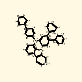 C1=Cc2c(oc3c(N(c4ccc(-c5ccccc5)cc4)c4ccc(-c5ccccc5)c(-c5ccccc5)c4)cccc23)CN1